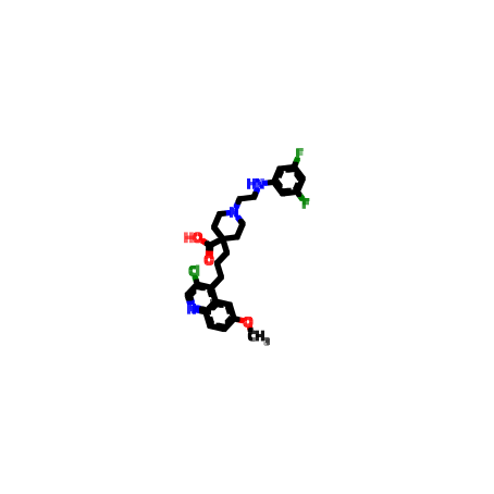 COc1ccc2ncc(Cl)c(CCCC3(C(=O)O)CCN(CCNc4cc(F)cc(F)c4)CC3)c2c1